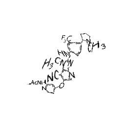 CC(=O)Nc1cc(Oc2cnc3nc(Nc4ccc(C5CCCN5C)c(C(F)(F)F)c4)n(C)c3c2C#N)ccn1